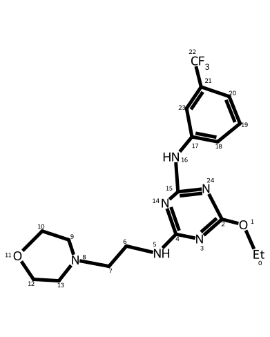 CCOc1nc(NCCN2CCOCC2)nc(Nc2cccc(C(F)(F)F)c2)n1